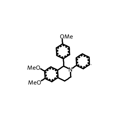 COc1ccc(C2c3cc(OC)c(OC)cc3CCN2c2c[c]ccc2)cc1